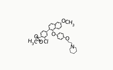 COc1ccc2c(Oc3ccc(OCCN4CCCCC4)cc3)c(-c3ccc(S(C)(=O)=O)c(Cl)c3)ccc2c1